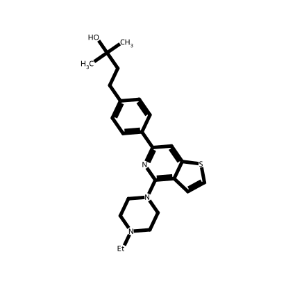 CCN1CCN(c2nc(-c3ccc(CCC(C)(C)O)cc3)cc3sccc23)CC1